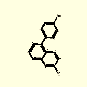 Oc1ccc(-c2cccc3cc(Br)ccc23)cc1